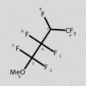 COC(F)(F)C(F)(F)C(F)C(F)(F)F